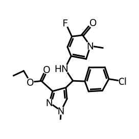 CCOC(=O)c1nn(C)cc1C(Nc1cc(F)c(=O)n(C)c1)c1ccc(Cl)cc1